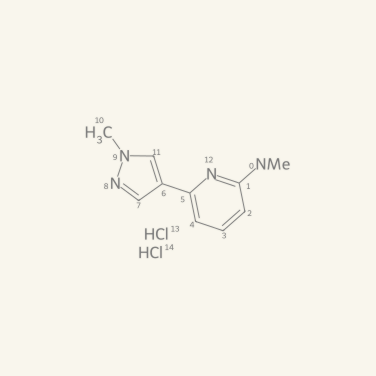 CNc1cccc(-c2cnn(C)c2)n1.Cl.Cl